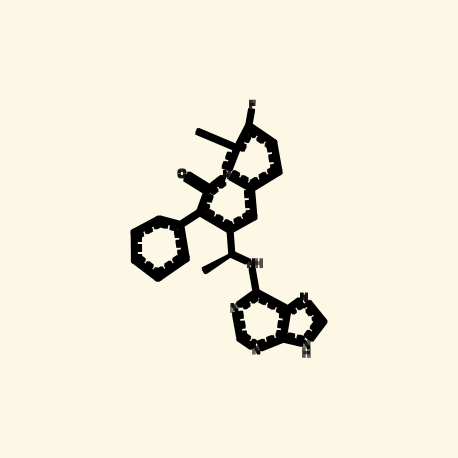 Cc1c(F)ccc2cc([C@H](C)Nc3ncnc4[nH]cnc34)c(-c3ccccc3)c(=O)n12